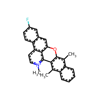 Cc1c2c(c(C)c3ccccc13)-c1c3c(cc4cc(F)ccc4c3cc[n+]1C)O2